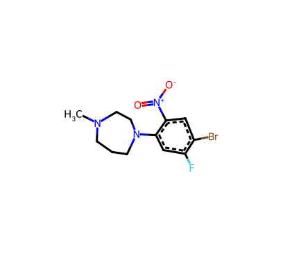 CN1CCCN(c2cc(F)c(Br)cc2[N+](=O)[O-])CC1